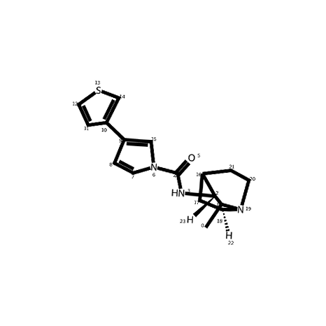 C[C@H]1[C@H](NC(=O)n2ccc(-c3ccsc3)c2)C2CCN1CC2